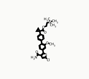 COc1cc(-c2sc(Cl)cc2C(N)=O)ccc1-c1ccc(C2(C(=O)OCC[Si](C)(C)C)CC2)cc1